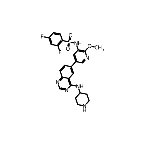 COc1ncc(-c2ccc3ncnc(NC4CCNCC4)c3c2)cc1NS(=O)(=O)c1ccc(F)cc1F